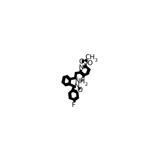 CS(=O)(=O)c1ccc(F)c(C[C@H](N)c2ccccc2-c2noc3cc(F)ccc23)n1